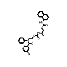 CC(COC(=O)Nc1cccc2ccccc12)NC(=O)OCCN(C(=O)c1cncc(Br)c1)c1ccccc1